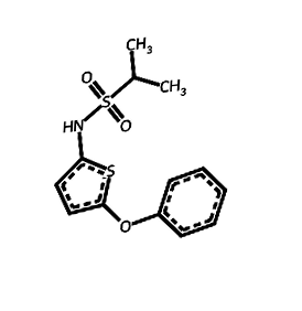 CC(C)S(=O)(=O)Nc1ccc(Oc2ccccc2)s1